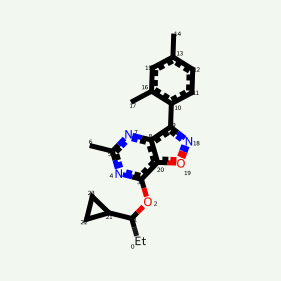 CCC(Oc1nc(C)nc2c(-c3ccc(C)cc3C)noc12)C1CC1